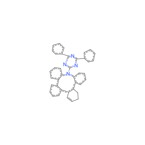 C1=Cc2c(c3ccccc3n(-c3nc(-c4ccccc4)nc(-c4ccccc4)n3)c3ccccc3c3ccccc23)CC1